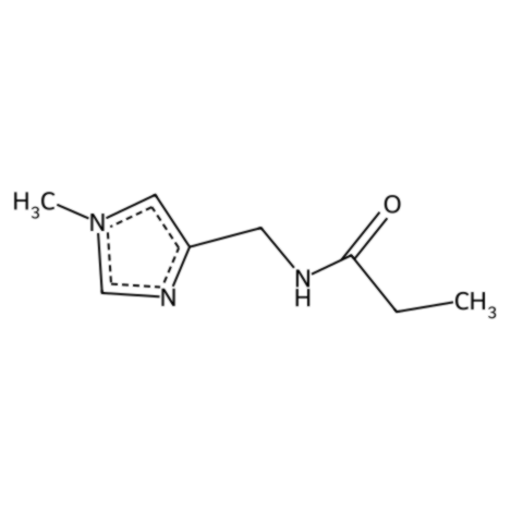 CCC(=O)NCc1cn(C)cn1